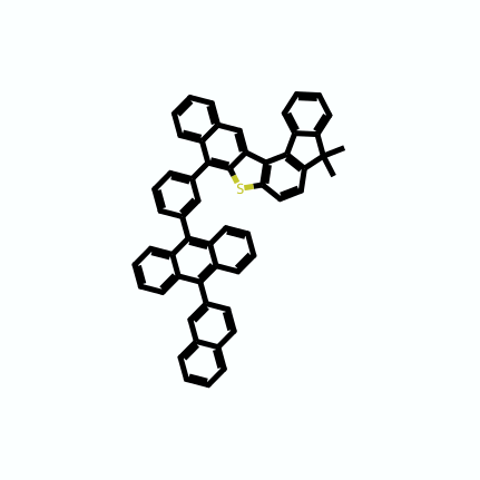 CC1(C)c2ccccc2-c2c1ccc1sc3c(-c4cccc(-c5c6ccccc6c(-c6ccc7ccccc7c6)c6ccccc56)c4)c4ccccc4cc3c21